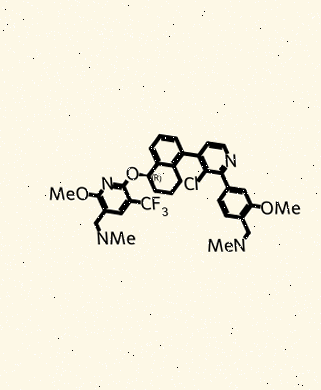 CNCc1ccc(-c2nccc(-c3cccc4c3CCC[C@H]4Oc3nc(OC)c(CNC)cc3C(F)(F)F)c2Cl)cc1OC